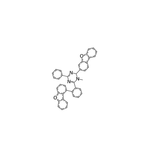 CN1C(c2ccccc2-c2cccc3oc4ccccc4c23)=NC(c2ccccc2)=NC1c1ccc2c(c1)oc1ccccc12